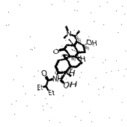 CCC(CC)C(=O)N[C@H]1CCC23C[C@]24C(=O)C[C@]2(C)[C@@H]([C@H](C)N(C)C)[C@H](O)C[C@@]2(C)[C@@H]4CC[C@H]3[C@]1(C)CO